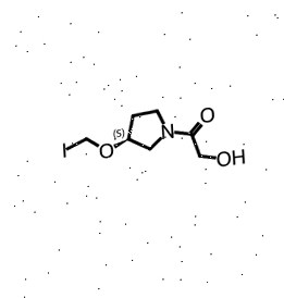 O=C(CO)N1CC[C@H](OCI)C1